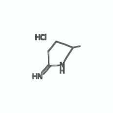 CC1CCC(=N)N1.Cl